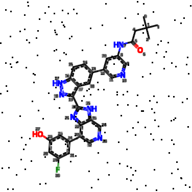 CC(C)(C)CC(=O)Nc1cncc(-c2ccc3[nH]nc(-c4nc5c(-c6cc(O)cc(F)c6)cncc5[nH]4)c3c2)c1